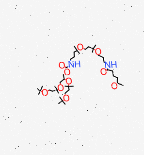 CC(=O)CCCC(=O)NCCCOC(C)(C)CCOC(C)(C)CCCNC(=O)OCC(COC(C)(C)CCOC(C)(C)C)OC(C)(C)CCOC(C)(C)C